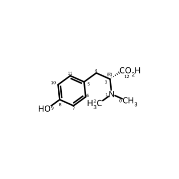 CN(C)[C@H](Cc1ccc(O)cc1)C(=O)O